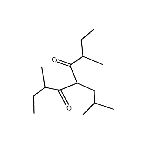 CCC(C)C(=O)C(CC(C)C)C(=O)C(C)CC